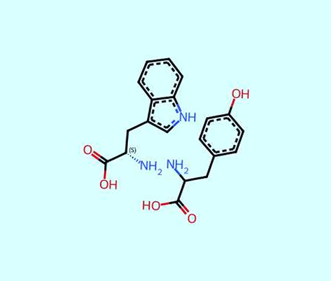 NC(Cc1ccc(O)cc1)C(=O)O.N[C@@H](Cc1c[nH]c2ccccc12)C(=O)O